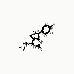 CNc1nc(Cl)nc2c1COC2c1ccc(F)cc1